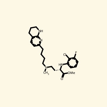 COC(=O)[C@H](CCN(C)CCCCc1ccc2c(n1)NCCC2)Nc1cccc(F)c1Cl